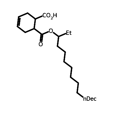 CCCCCCCCCCCCCCCCCC(CC)OC(=O)C1CC=CCC1C(=O)O